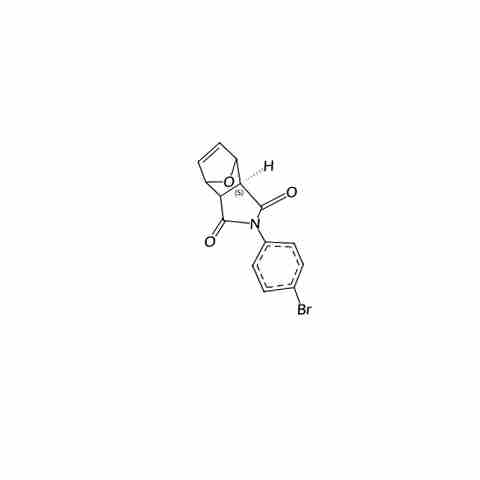 O=C1C2C3C=CC(O3)[C@H]2C(=O)N1c1ccc(Br)cc1